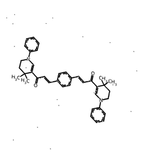 CC1(C)CCN(c2ccccc2)C=C1C(=O)/C=C/c1ccc(/C=C/C(=O)C2=CN(c3ccccc3)CCC2(C)C)cc1